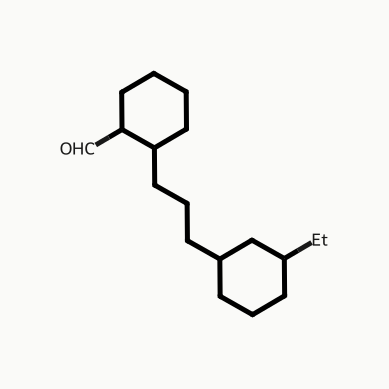 CCC1CCCC(CCCC2CCCCC2C=O)C1